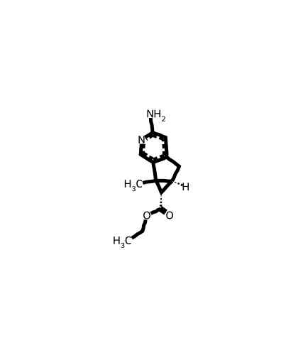 CCOC(=O)[C@H]1[C@@H]2Cc3cc(N)ncc3C21C